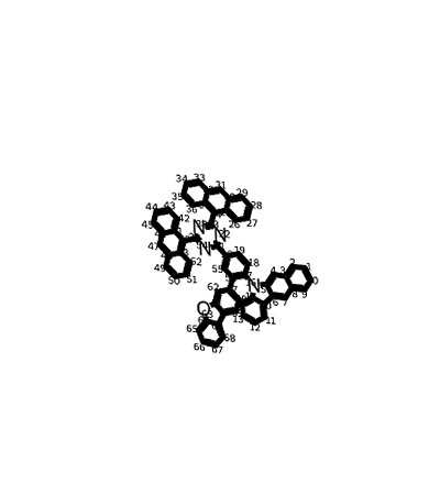 c1ccc2cc3c(cc2c1)c1ccccc1n3-c1ccc(-c2nc(-c3c4ccccc4cc4ccccc34)nc(-c3c4ccccc4cc4ccccc34)n2)cc1-c1ccc2c(c1)oc1ccccc12